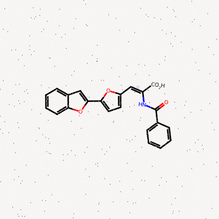 O=C(O)/C(=C/c1ccc(-c2cc3ccccc3o2)o1)NC(=O)c1ccccc1